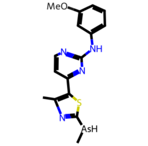 COc1cccc(Nc2nccc(-c3sc([AsH]C)nc3C)n2)c1